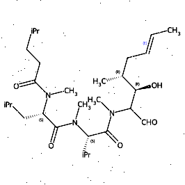 C/C=C/C[C@@H](C)[C@@H](O)C(C=O)N(C)C(=O)[C@H](C(C)C)N(C)C(=O)[C@H](CC(C)C)N(C)C(=O)CCC(C)C